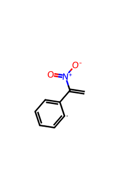 C=C(c1[c]cccc1)[N+](=O)[O-]